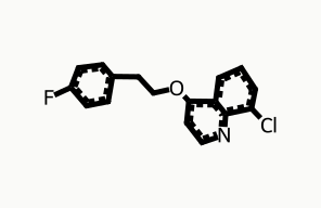 Fc1ccc(CCOc2ccnc3c(Cl)cccc23)cc1